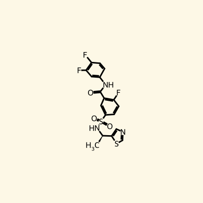 C[C@@H](NS(=O)(=O)c1ccc(F)c(C(=O)Nc2ccc(F)c(F)c2)c1)c1cncs1